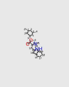 Cc1cc(C)cc(COC(=O)C(Cc2cc3ccccc3[nH]2)[N+](C)(C)C)c1